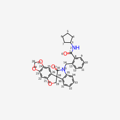 O=C(NC1CCCC1)c1ccccc1CN1C(=O)C2(COc3cc4c(cc32)OCO4)c2ccccc21